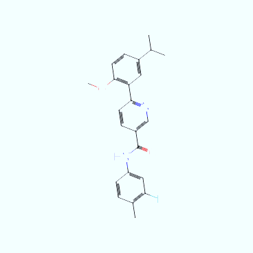 COc1ccc(C(C)C)cc1-c1ccc(C(=O)Nc2ccc(C)c(F)c2)cn1